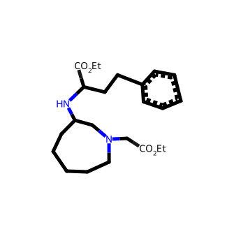 CCOC(=O)CN1CCCCCC(NC(CCc2ccccc2)C(=O)OCC)C1